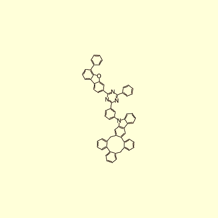 c1ccc(-c2nc(-c3cccc(-n4c5ccccc5c5cc6c(cc54)Cc4ccccc4-c4ccccc4Cc4ccccc4-6)c3)nc(-c3ccc4c(c3)oc3c(-c5ccccc5)cccc34)n2)cc1